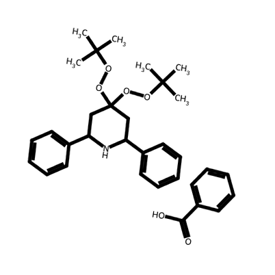 CC(C)(C)OOC1(OOC(C)(C)C)CC(c2ccccc2)NC(c2ccccc2)C1.O=C(O)c1ccccc1